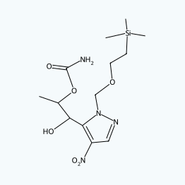 CC(OC(N)=O)C(O)c1c([N+](=O)[O-])cnn1COCC[Si](C)(C)C